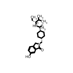 CC[C@@H](NC(C)[C@H]1CC[C@H](CN2Cc3ccc(O)cc3C2=O)CC1)C(C)C